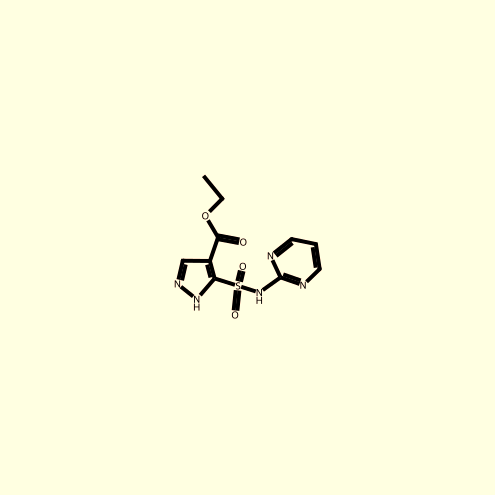 CCOC(=O)c1cn[nH]c1S(=O)(=O)Nc1ncccn1